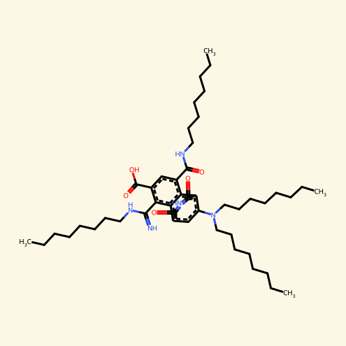 CCCCCCCCNC(=N)c1c(C(=O)O)cc(C(=O)NCCCCCCCC)c2c3c(N(CCCCCCCC)CCCCCCCC)cc(c(=O)[nH]c3=O)c12